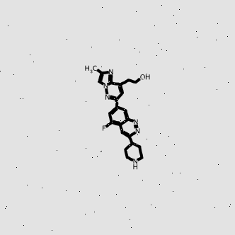 Cc1cn2nc(-c3cc(F)c4cc(C5CCNCC5)nnc4c3)cc(CCO)c2n1